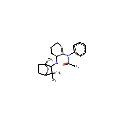 CC(=O)N(c1ccccc1)C1CCCCC1NC1C2(C)CCC(C2)C1(C)C